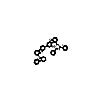 c1ccc(C2=NC(c3ccccc3)NC(c3cccc4sc5cc(-c6ccc7c(c6)oc6c(-n8c9ccccc9c9ccccc98)cccc67)ccc5c34)N2)cc1